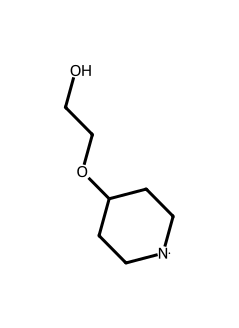 OCCOC1CC[N]CC1